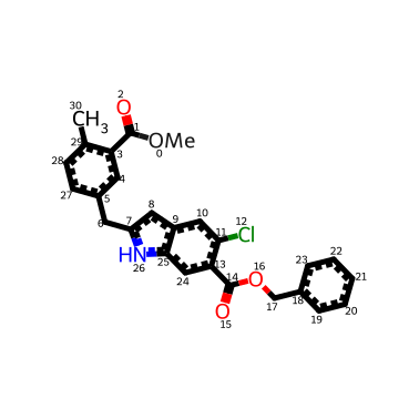 COC(=O)c1cc(Cc2cc3cc(Cl)c(C(=O)OCc4ccccc4)cc3[nH]2)ccc1C